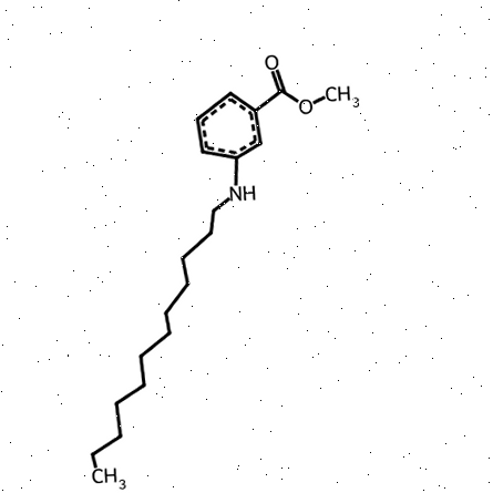 CCCCCCCCCCCCNc1cccc(C(=O)OC)c1